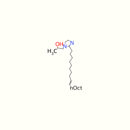 CCCCCCCCC=CCCCCCCCCC1=NCCN1CC(C)O